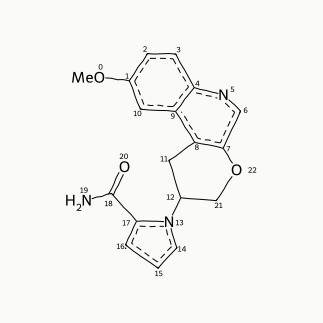 COc1ccc2ncc3c(c2c1)CC(n1cc[c]c1C(N)=O)CO3